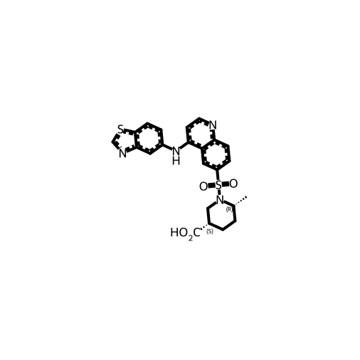 C[C@@H]1CC[C@H](C(=O)O)CN1S(=O)(=O)c1ccc2nccc(Nc3ccc4scnc4c3)c2c1